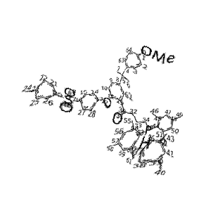 COc1ccc(C(C)(C)c2ccc(Oc3ccc(S(=O)(=O)c4ccc(C)cc4)cc3)c(C(=O)CCC[PH](c3ccc(C)cc3C)(c3c(C)cc(C)cc3C)c3c(C)cc(C)cc3C)c2)cc1